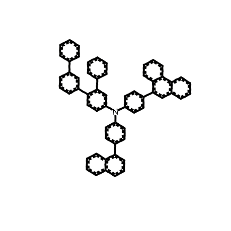 c1ccc(-c2cccc(-c3ccc(N(c4ccc(-c5cccc6ccccc56)cc4)c4ccc(-c5cc6ccccc6c6ccccc56)cc4)cc3-c3ccccc3)c2)cc1